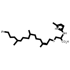 CC(=CCSCC(Nc1ccc(C)[nH]1)C(=O)O)CCCC(C)CCCC(C)CCCC(C)C